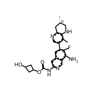 Cc1c(-c2cc3cc(NC(=O)OC4CC(O)C4)ncc3c(N)c2F)cnc2c1NC[C@@H](C)C2